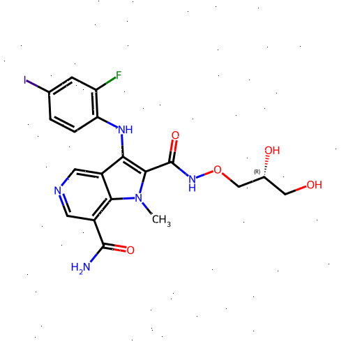 Cn1c(C(=O)NOC[C@H](O)CO)c(Nc2ccc(I)cc2F)c2cncc(C(N)=O)c21